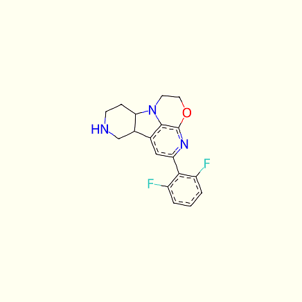 Fc1cccc(F)c1-c1cc2c3c(n1)OCCN3C1CCNCC21